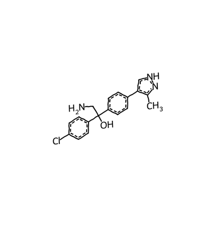 Cc1n[nH]cc1-c1ccc(C(O)(CN)c2ccc(Cl)cc2)cc1